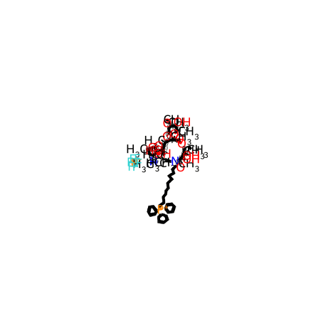 CC[C@H]1OC(=O)[C@H](C)[C@@H](O[C@H]2C[C@@](C)(OC)[C@@H](O)[C@H](C)O2)[C@H](C)[C@@H](O[C@@H]2O[C@H](C)C[C@H](N(C)C)[C@H]2O)[C@](C)(O)C[C@@H](C)CN(C(=O)CCCCCCCCCCC[P+](c2ccccc2)(c2ccccc2)c2ccccc2)[C@H](C)[C@@H](O)[C@]1(C)O.F[P-](F)(F)(F)(F)F